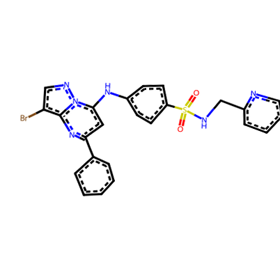 O=S(=O)(NCc1ccccn1)c1ccc(Nc2cc(-c3ccccc3)nc3c(Br)cnn23)cc1